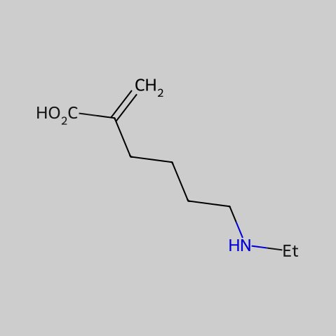 C=C(CCCCNCC)C(=O)O